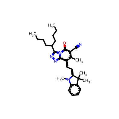 CCCCC(CCCC)c1nnc2/c(=C/C=C3\N(C)c4ccccc4C3(C)C)c(C)c(C#N)c(=O)n12